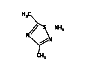 Cc1nsc(C)n1.N